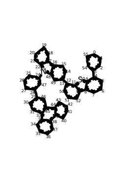 c1ccc(-c2cccc3c2sc2c(-c4ccc5c6ccccc6n(-c6cccc(-c7ccc8c9ccccc9c9ccccc9c8c7)c6)c5c4)cccc23)cc1